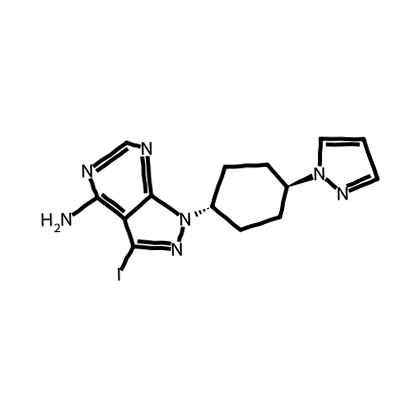 Nc1ncnc2c1c(I)nn2[C@H]1CC[C@H](n2cccn2)CC1